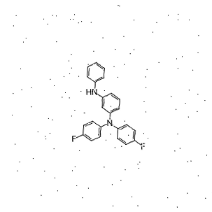 Fc1ccc(N(c2ccc(F)cc2)c2cccc(Nc3ccccc3)c2)cc1